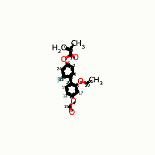 C=C(C)C(=O)Oc1ccc(-c2ccc(OC=O)cc2OCC)c(F)c1